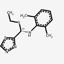 CCS[C@H](Nc1c(C)cccc1C)c1nncs1